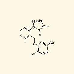 Cc1cccc(-n2nnn(C)c2=O)c1COc1cc(Br)ccc1Cl